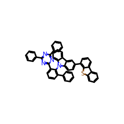 c1ccc(-c2nc(-c3ccccc3)nc(-c3cccc(-c4ccccc4)c3-n3c4ccccc4c4cc(-c5cccc6c5sc5ccccc56)ccc43)n2)cc1